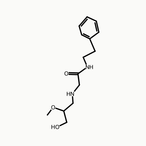 COC(CO)CNCC(=O)NCCc1ccccc1